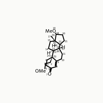 COCC[C@]12CCC(=O)C=C1CC[C@@H]1[C@@H]2CC[C@]2(C)[C@@H](OC)CC[C@@H]12